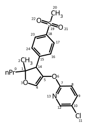 CCCC1(C)OC=C(Oc2ccc(Cl)cn2)C1c1ccc(S(C)(=O)=O)cc1